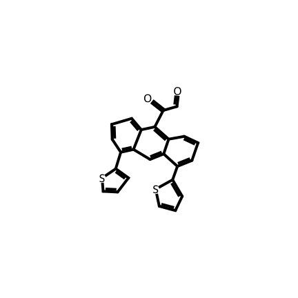 O=CC(=O)c1c2cccc(-c3cccs3)c2cc2c(-c3cccs3)cccc12